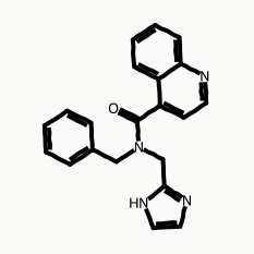 O=C(c1ccnc2ccccc12)N(Cc1ccccc1)Cc1ncc[nH]1